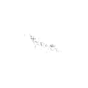 CCn1c(OC(=O)NCc2c(C)cc(CN)cc2C)cc(C)c1Cc1ccc(Cn2cc(C)cn2)cc1